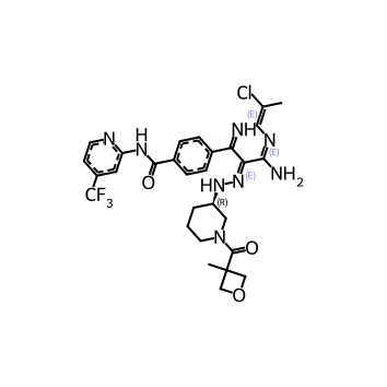 C\C(Cl)=C/N=C(N)\C(=N\N[C@@H]1CCCN(C(=O)C2(C)COC2)C1)C(=N)c1ccc(C(=O)Nc2cc(C(F)(F)F)ccn2)cc1